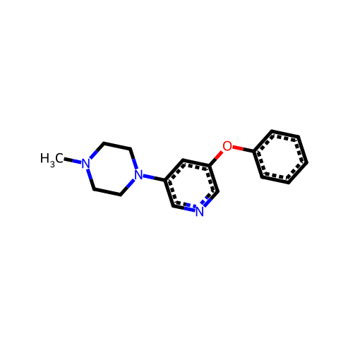 CN1CCN(c2cncc(Oc3ccccc3)c2)CC1